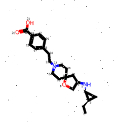 CC[C@@H]1C[C@H]1NC1COC2(CCN(CCc3ccc(C(=O)O)cc3)CC2)C1